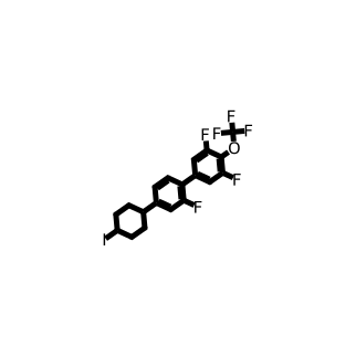 Fc1cc(C2CCC(I)CC2)ccc1-c1cc(F)c(OC(F)(F)F)c(F)c1